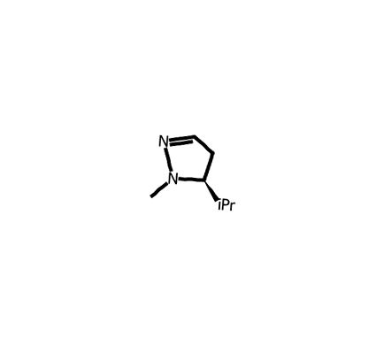 CC(C)[C@@H]1CC=NN1C